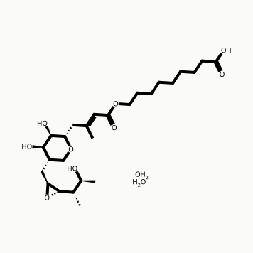 C/C(=C\C(=O)OCCCCCCCCC(=O)O)C[C@@H]1OC[C@H](C[C@@H]2O[C@H]2[C@@H](C)[C@H](C)O)[C@@H](O)[C@H]1O.O.O